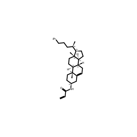 C=CC(=O)N[C@H]1CC[C@@]2(C)C(=CC[C@H]3[C@@H]4CC[C@H]([C@H](C)CCCC(C)C)[C@@]4(C)CC[C@@H]32)C1